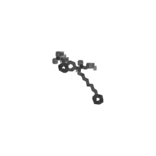 CCC(=O)N(CCCCCCCCc1ccccc1)C1CCc2c(cccc2NC(C)=O)C1